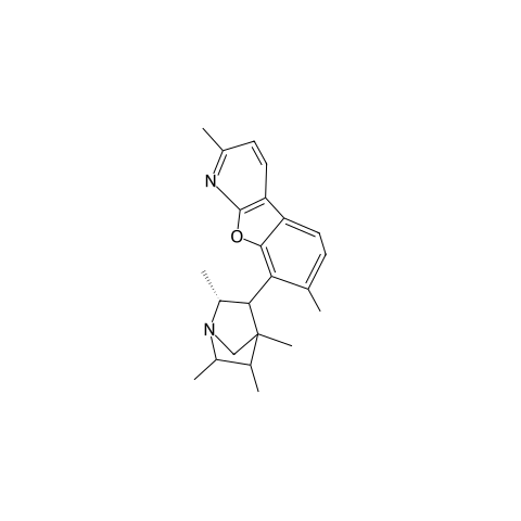 Cc1ccc2c(n1)oc1c(C3[C@@H](C)N4CC3(C)C(C)C4C)c(C)ccc12